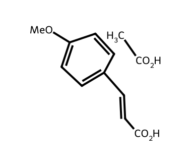 CC(=O)O.COc1ccc(C=CC(=O)O)cc1